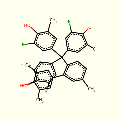 Cc1ccc(C(c2cc(C)c(O)c(F)c2)(c2cc(C)c(O)c(F)c2)c2cc(C)c(O)c(F)c2)c(-c2cc(C)c(O)c(F)c2)c1